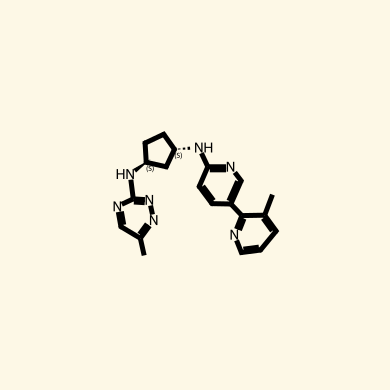 Cc1cnc(N[C@H]2CC[C@H](Nc3ccc(-c4ncccc4C)cn3)C2)nn1